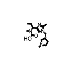 CCC(c1cn(C[C@H]2CCN(C)C2)c(C)n1)N(C)C(=O)O